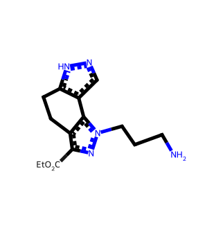 CCOC(=O)c1nn(CCCN)c2c1CCc1[nH]ncc1-2